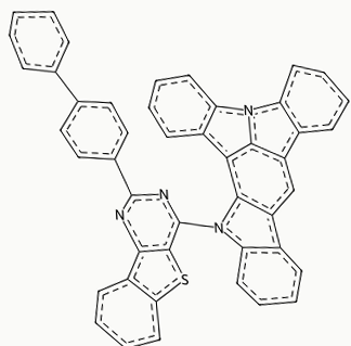 c1ccc(-c2ccc(-c3nc(-n4c5ccccc5c5cc6c7ccccc7n7c8ccccc8c(c54)c67)c4sc5ccccc5c4n3)cc2)cc1